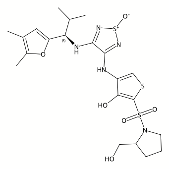 Cc1cc([C@H](Nc2n[s+]([O-])nc2Nc2csc(S(=O)(=O)N3CCCC3CO)c2O)C(C)C)oc1C